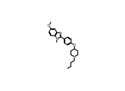 CCCCN1CCC(Oc2ccc(-c3nc4cc(OC)ccc4n3C)cc2)CC1